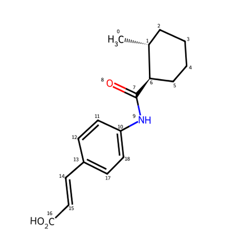 C[C@@H]1CCCC[C@H]1C(=O)Nc1ccc(/C=C/C(=O)O)cc1